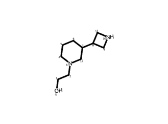 OCCN1CCCC(C2CNC2)C1